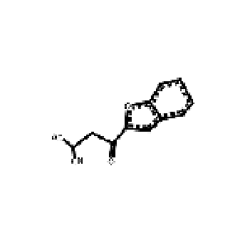 CC(=O)C(C#N)CC(=O)c1cc2ccccc2o1